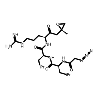 CC(C)C[C@H](NC(=O)CN=[N+]=[N-])C(=O)N[C@@H](CC(C)C)C(=O)N[C@@H](CCCNC(=N)N)C(=O)C[C@@]1(C)CO1